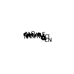 C[C@@H](Cn1ccc(-c2ccc(C#N)c(Cl)c2F)n1)NC(=O)c1cn2cccnc2n1